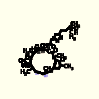 C/C1=C\C=C\[C@@H](C)[C@@]2(O)C[C@H](OC(=O)N2)[C@@H](C)[C@@H]2O[C@]2(C)[C@@H](OC(=O)Cn2cc(CCC[Si](C)(C)O)nn2)CC(=O)N(C)c2cc(cc(C)c2Cl)C1